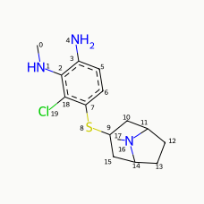 CNc1c(N)ccc(SC2CC3CCC(C2)N3C)c1Cl